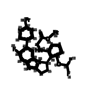 C=C(CNc1cccc(OC(F)F)c1[C@H]1CCc2nc3cc(F)c(-c4cnc(C(C)C)nc4)cc3n21)OCC